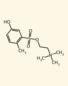 Cc1ccc(O)cc1S(=O)(=O)OCC[N+](C)(C)C